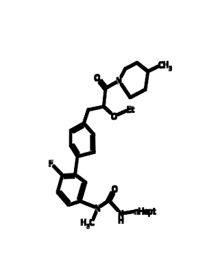 CCCCCCCNC(=O)N(C)c1ccc(F)c(-c2ccc(CC(OCC)C(=O)N3CCC(C)CC3)cc2)c1